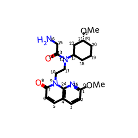 COc1ccc2ccc(=O)n(CCN(C(=O)CN)C3CCC[C@@H](OC)C3)c2n1